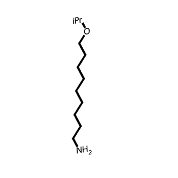 CC(C)OCCCCCCCCCN